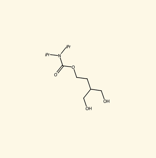 CC(C)N(C(=O)OCCC(CO)CO)C(C)C